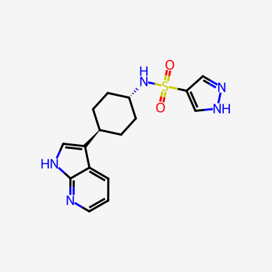 O=S(=O)(N[C@H]1CC[C@H](c2c[nH]c3ncccc32)CC1)c1cn[nH]c1